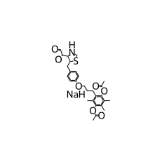 CC(=O)Oc1c(C)c(C)c(OC(C)=O)c(CCCOc2ccc(CC3SCNC3C(=O)C=O)cc2)c1C.[NaH]